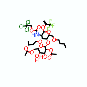 C=C(OC1OC(COCCCC)[C@@H](O[C@@H]2OC(COC(C)=O)[C@H](O)C(O)[C@@H]2OC(C)=O)[C@H](OCCCC)C1NC(=O)OCC(Cl)(Cl)Cl)C(F)(F)F